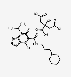 CC(C)n1c(=O)c(C(=O)NCCCN2CCCCC2)c(O)c2ccsc21.O=C(O)CC(O)(CC(=O)O)C(=O)O